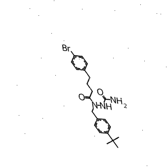 CC(C)(C)c1ccc(CN(NC(N)=O)C(=O)CCCc2ccc(Br)cc2)cc1